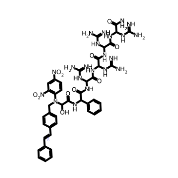 N=C(N)NC(NC(=O)C(NC(=N)N)NC(=O)C(NC(=N)N)NC(=O)C(NC(=N)N)NC(=O)C(NC(=O)C(O)N(Cc1ccc(/C=C/c2ccccc2)cc1)c1ccc([N+](=O)[O-])cc1[N+](=O)[O-])c1ccccc1)C(N)=O